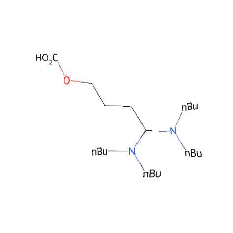 CCCCN(CCCC)C(CCCOC(=O)O)N(CCCC)CCCC